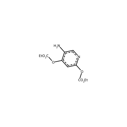 CCOC(=O)Oc1cc(OC(=O)OCC)c(N)cn1